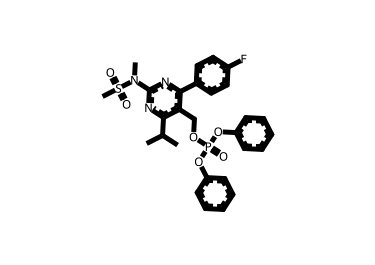 CC(C)c1nc(N(C)S(C)(=O)=O)nc(-c2ccc(F)cc2)c1COP(=O)(Oc1ccccc1)Oc1ccccc1